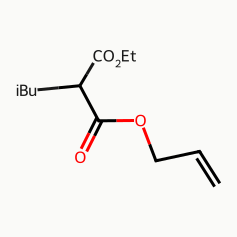 C=CCOC(=O)C(C(=O)OCC)C(C)CC